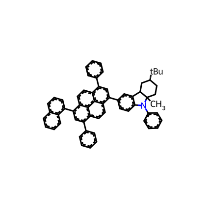 CC(C)(C)C1CCC2(C)C(C1)c1cc(-c3cc(-c4ccccc4)c4ccc5c(-c6cccc7ccccc67)cc(-c6ccccc6)c6ccc3c4c65)ccc1N2c1ccccc1